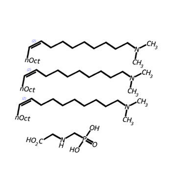 CCCCCCCC/C=C\CCCCCCCCN(C)C.CCCCCCCC/C=C\CCCCCCCCN(C)C.CCCCCCCC/C=C\CCCCCCCCN(C)C.O=C(O)CNCP(=O)(O)O